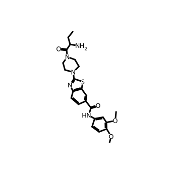 CCC(N)C(=O)N1CCN(c2nc3ccc(C(=O)Nc4ccc(OC)c(OC)c4)cc3s2)CC1